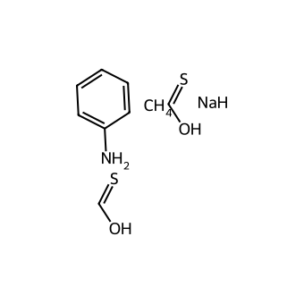 C.Nc1ccccc1.OC=S.OC=S.[NaH]